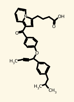 CC#CC(Oc1ccc(C(=O)c2cc(CCCC(=O)O)n3ccccc23)cc1)c1ccc(CC(C)C)cc1